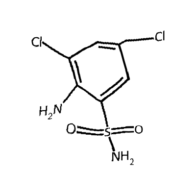 Nc1c(Cl)cc(Cl)cc1S(N)(=O)=O